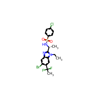 CCn1c([C@@H](C)NS(=O)(=O)c2ccc(Cl)cc2)nc2cc(Br)c(C(C)(F)F)cc21